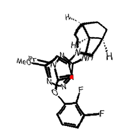 COc1cc(N2C[C@H]3CC[C@@H](C2)[C@H]3Nc2nc(Oc3cccc(F)c3F)n(C(C)C)n2)cnn1